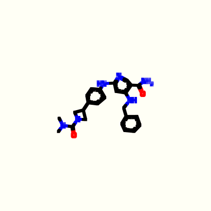 CN(C)C(=O)N1CC(c2ccc(Nc3cc(NCc4ccccc4)c(C(N)=O)cn3)cc2)C1